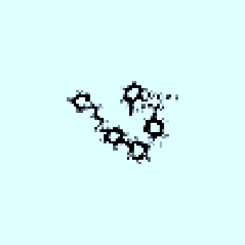 O=CON(c1ccc(Nc2cc(-c3ccc(OCCCN4CCCC4)cc3)ncn2)cc1)S(=O)(=O)c1ccccc1F